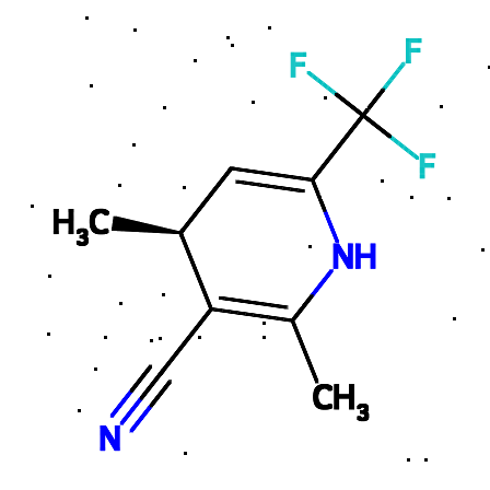 CC1=C(C#N)[C@@H](C)C=C(C(F)(F)F)N1